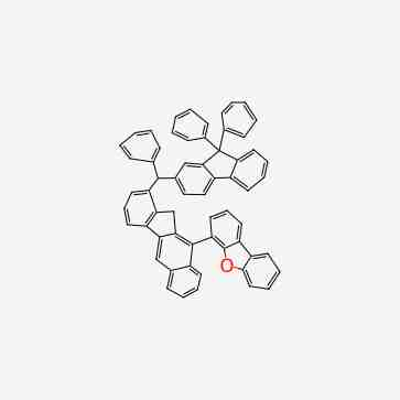 c1ccc(C(c2ccc3c(c2)C(c2ccccc2)(c2ccccc2)c2ccccc2-3)c2cccc3c2Cc2c-3cc3ccccc3c2-c2cccc3c2oc2ccccc23)cc1